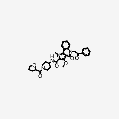 COc1c(C(=O)NC2CCN(C(=O)C3CCCO3)CC2)n(C)c2c1c(=O)n(CC(=O)c1ccccc1)c1ccccc21